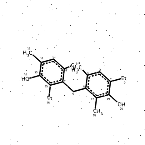 CCc1cc(C)c(Cc2c(C)cc(C)c(O)c2CC)c(C)c1O